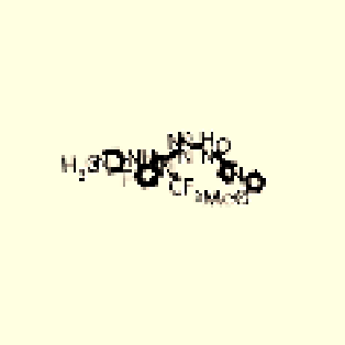 CO[C@H]1CCC[C@@H]1n1ccc(C(=O)NCc2nc(-c3cc4c(N[C@@H]5CCN(C)C[C@@H]5F)cccc4n3CC(F)(F)F)no2)c1